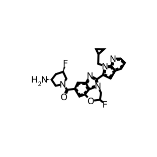 N[C@@H]1C[C@@H](F)CN(C(=O)c2cc3c4c(c2)nc(-c2cc5cccnc5n2CC2CC2)n4CC(F)O3)C1